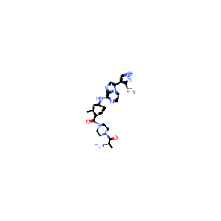 Cc1cc(Nc2nccn3c(-c4c[nH]nc4C(F)(F)F)cnc23)ccc1C(=O)N1CCN(C(=O)C(C)N)CC1